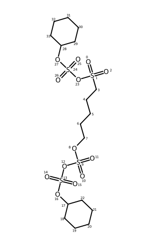 O=S(=O)(CCCCCOS(=O)(=O)OS(=O)(=O)OC1CCCCC1)OS(=O)(=O)OC1CCCCC1